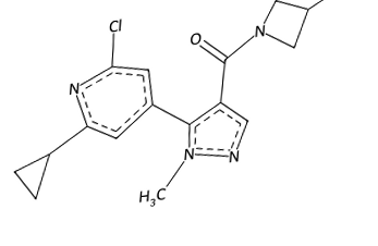 Cn1ncc(C(=O)N2CC(F)C2)c1-c1cc(Cl)nc(C2CC2)c1